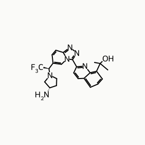 CC(C)(O)c1cccc2ccc(-c3nnc4ccc([C@@H](N5CC[C@H](N)C5)C(F)(F)F)cn34)nc12